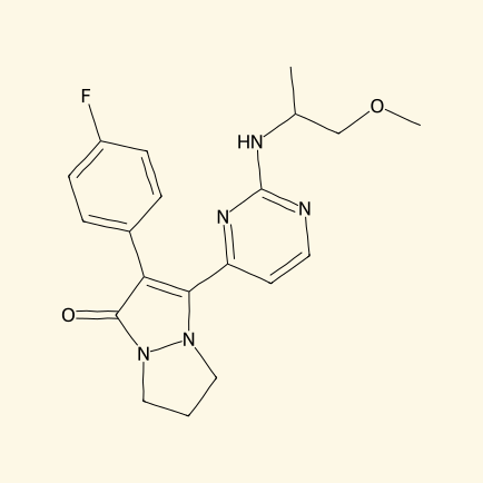 COCC(C)Nc1nccc(-c2c(-c3ccc(F)cc3)c(=O)n3n2CCC3)n1